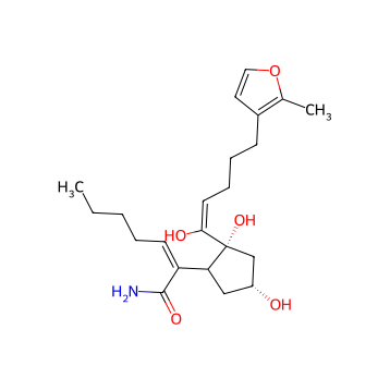 CCCCC=C(C(N)=O)C1C[C@@H](O)C[C@]1(O)/C(O)=C\CCCc1ccoc1C